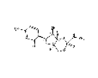 CNP1(=O)OC[C@H]2S[C@@H](n3ccc(N)nc3=O)[C@@H](O)[C@@H]2O1